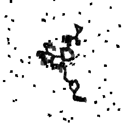 CO[C@@H]1CCN(CCOc2ccc(NC(=O)C3CC3)cc2-c2c(C)noc2C)C1